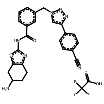 N#Cc1ccc(-c2cn(Cc3cccc(C(=O)Nc4nc5c(s4)CC(N)CC5)c3)nn2)cc1.O=C(O)C(F)(F)F